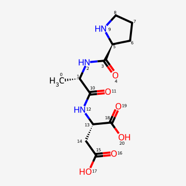 C[C@H](NC(=O)[C@@H]1CCCN1)C(=O)N[C@@H](CC(=O)O)C(=O)O